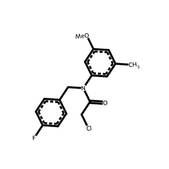 COc1cc(C)cc(N(Cc2ccc(F)cc2)C(=O)CCl)c1